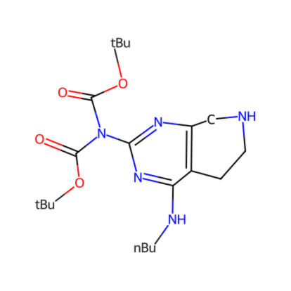 CCCCNc1nc(N(C(=O)OC(C)(C)C)C(=O)OC(C)(C)C)nc2c1CCNC2